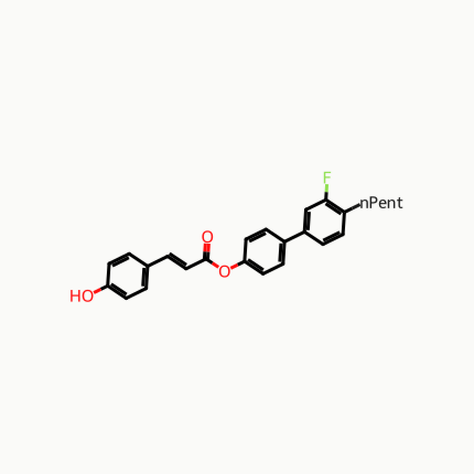 CCCCCc1ccc(-c2ccc(OC(=O)/C=C/c3ccc(O)cc3)cc2)cc1F